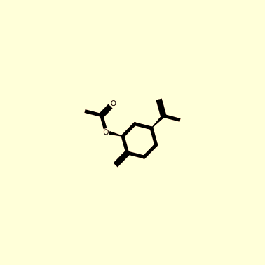 C=C(C)[C@H]1CCC(=C)[C@@H](OC(C)=O)C1